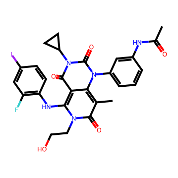 CC(=O)Nc1cccc(-n2c(=O)n(C3CC3)c(=O)c3c(Nc4ccc(I)cc4F)n(CCO)c(=O)c(C)c32)c1